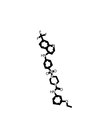 CCOc1cccc(NC(=O)N2CCN(S(=O)(=O)c3ccc(Nc4ccnc5cc(C(F)(F)F)ccc45)cc3)CC2)c1